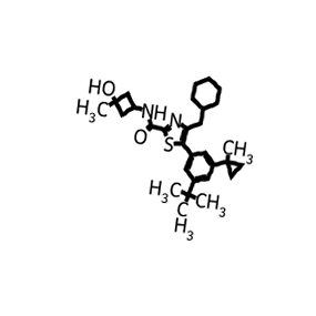 CC1(O)CC(NC(=O)c2nc(CC3CCCCC3)c(-c3cc(C(C)(C)C)cc(C4(C)CC4)c3)s2)C1